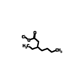 CCCCC(CC)CC(=O)OCl